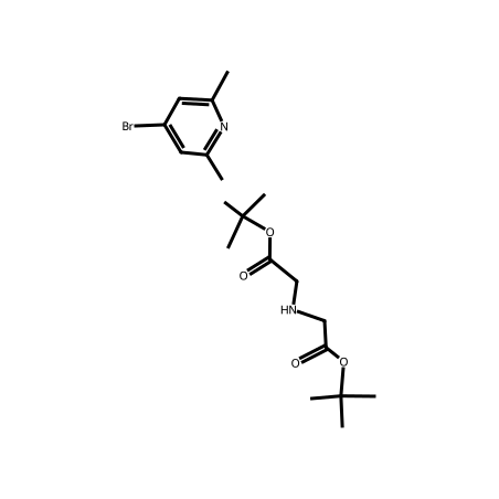 CC(C)(C)OC(=O)CNCC(=O)OC(C)(C)C.Cc1cc(Br)cc(C)n1